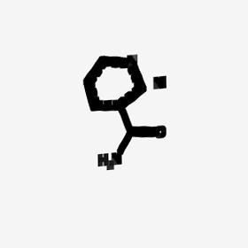 NC(=O)c1cccnc1.[Ni]